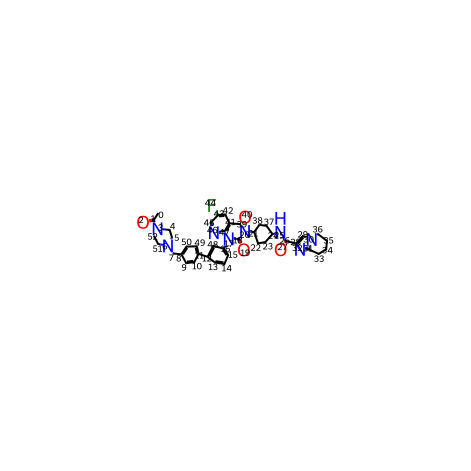 CC(=O)N1CCN(Cc2ccc(-c3cccc(-n4c(=O)n(C5CCC(NC(=O)c6cn7c(n6)CCCC7)CC5)c(=O)c5cc(F)cnc54)c3)cc2)CC1